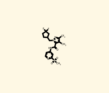 Cc1c(C(F)(F)F)nn(CC2CCC(F)(F)C2)c1C(=O)Nc1ccnc(S(C)(=O)=O)c1